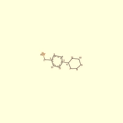 BrCc1ccc(C2CCCCC2)cc1